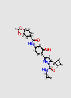 O=C(Nc1ccc(-c2cc(C3CCC3)n(C(=O)NC3CC3)n2)c(O)c1)c1ccc2c(c1)OCO2